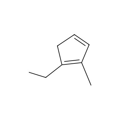 CCC1=C(C)C=CC1